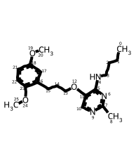 CCCCNc1nc(C)ncc1OCCCc1cc(OC)ccc1OC